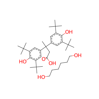 CC(C)(C)c1cc(C(C)(CC(=O)O)c2cc(C(C)(C)C)c(O)c(C(C)(C)C)c2)cc(C(C)(C)C)c1O.OCCCCCCO